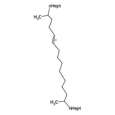 [CH2]CCCCCCC(C)CC/C=C/CCCCCCCC(C)CCCCCC[CH2]